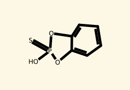 OP1(=S)Oc2ccccc2O1